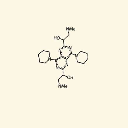 CNCC(O)c1nc(N2CCCCC2)c2nc(C(O)CNC)nc(N3CCCCC3)c2n1